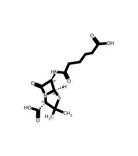 CC1(C)S[C@@H]2[C@H](NC(=O)CCCCC(=O)O)C(=O)N2[C@H]1C(=O)O